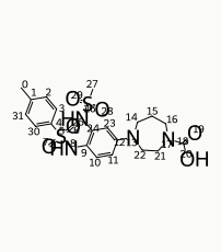 Cc1ccc(S(=O)(=O)Nc2ccc(N3CCCN(C(=O)O)CC3)cc2NS(C)(=O)=O)cc1